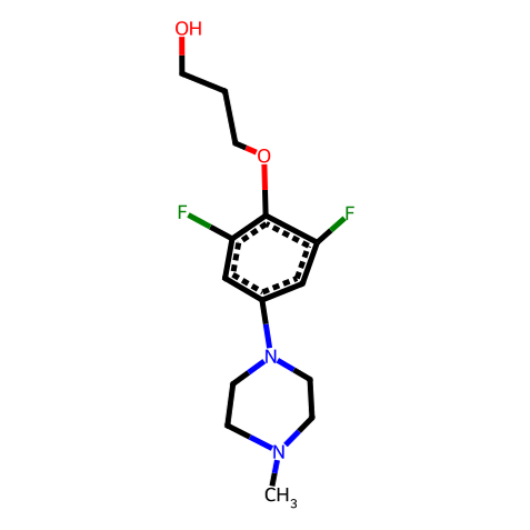 CN1CCN(c2cc(F)c(OCCCO)c(F)c2)CC1